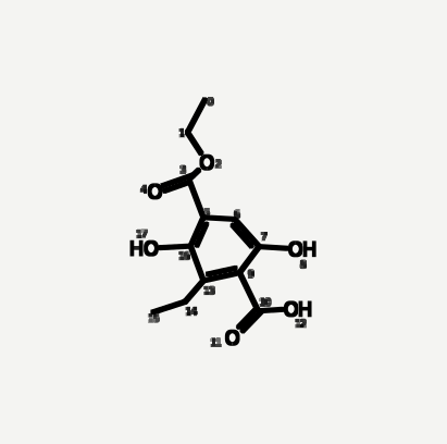 CCOC(=O)c1cc(O)c(C(=O)O)c(CC)c1O